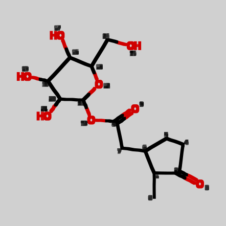 CC1C(=O)CCC1CC(=O)OC1OC(CO)C(O)C(O)C1O